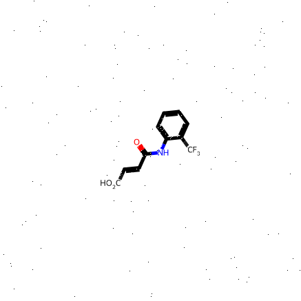 O=C(O)C=CC(=O)Nc1ccccc1C(F)(F)F